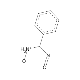 O=NC([NH2+][O-])c1ccccc1